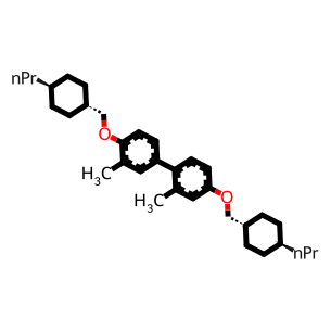 CCC[C@H]1CC[C@H](COc2ccc(-c3ccc(OC[C@H]4CC[C@H](CCC)CC4)c(C)c3)c(C)c2)CC1